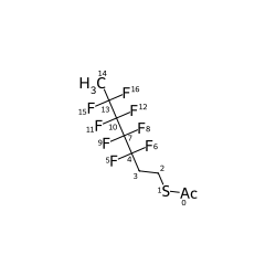 CC(=O)SCCC(F)(F)C(F)(F)C(F)(F)C(C)(F)F